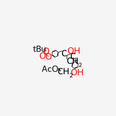 C=CC(=C=Cc1ccc(OC(=O)OC(C)(C)C)cc1)C(O)=C=Cc1ccc(O)cc1.C=COC(C)=O